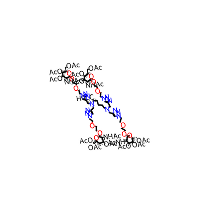 CC(=O)N[C@H]1[C@H](OCCOCCn2cc(CN(CCCC[C@@H](C(=O)O)N(Cc3cn(CCOCCOC4O[C@H](COC(C)=O)[C@H](OC(C)=O)[C@H](OC(C)=O)[C@H]4NC(C)=O)nn3)Cc3cn(CCOCCO[C@@H]4O[C@H](COC(C)=O)[C@H](OC(C)=O)[C@H](OC(C)=O)[C@H]4NC(C)=O)nn3)Cc3cn(CCOCCO[C@@H]4O[C@H](COC(C)=O)[C@H](OC(C)=O)[C@H](OC(C)=O)[C@H]4NC(C)=O)nn3)nn2)O[C@H](COC(C)=O)[C@H](OC(C)=O)[C@@H]1OC(C)=O